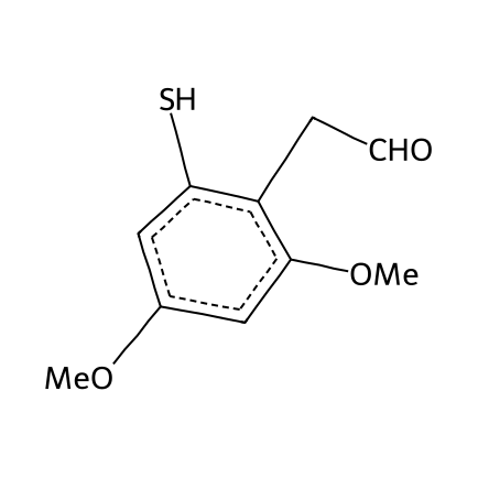 COc1cc(S)c(CC=O)c(OC)c1